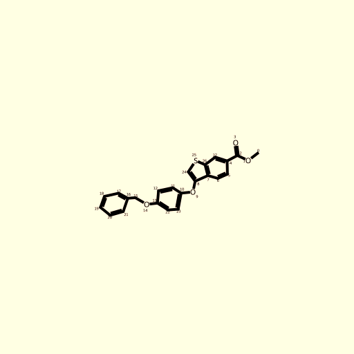 COC(=O)c1ccc2c(Oc3ccc(OCc4ccccc4)cc3)csc2c1